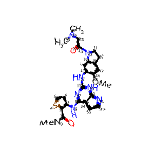 CNC(=O)c1sccc1Nc1nc(Nc2cc3c(cc2OC)CCN3C(=O)CN(C)C)[nH]c2nccc1-2